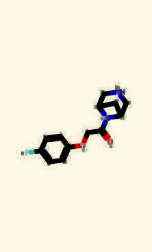 O=C(COc1ccc(F)cc1)N1C2CNCC1C2